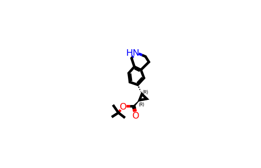 CC(C)(C)OC(=O)[C@@H]1C[C@H]1c1ccc2c(c1)CCNC2